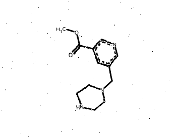 COC(=O)c1cncc(CN2CCNCC2)c1